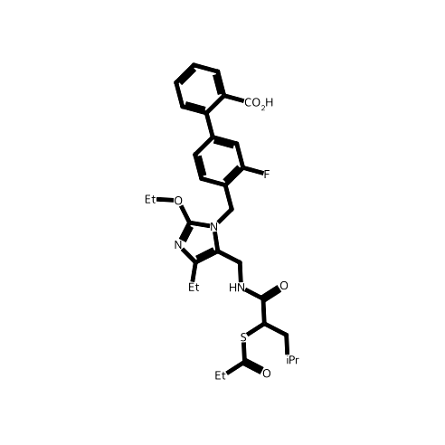 CCOc1nc(CC)c(CNC(=O)C(CC(C)C)SC(=O)CC)n1Cc1ccc(-c2ccccc2C(=O)O)cc1F